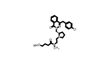 COCCCC(=O)N(C)CCN1CCC[C@@H]1Cn1nc(Cc2ccc(Cl)cc2)c2ccccc2c1=O